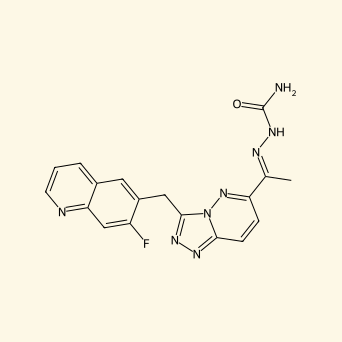 CC(=NNC(N)=O)c1ccc2nnc(Cc3cc4cccnc4cc3F)n2n1